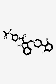 CC(=O)N(C)C1CCN(C(=O)c2[nH]c3ccccc3c2CN2CCC(c3c(F)cccc3F)CC2)C1